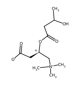 CC(O)CC(=O)O[C@H](CC(=O)[O-])C[N+](C)(C)C